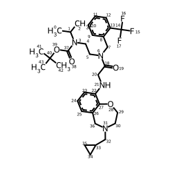 CC(C)N(CCN(Cc1ccccc1C(F)(F)F)C(=O)CNc1cccc2c1OCCN(CC1CC1)C2)C(=O)OC(C)(C)C